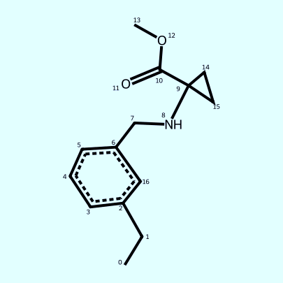 CCc1cccc(CNC2(C(=O)OC)CC2)c1